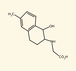 Cc1ccc2c(c1)CCC(NCC(=O)O)C2O